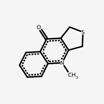 Cn1c2c(c(=O)c3ccccc31)CSC2